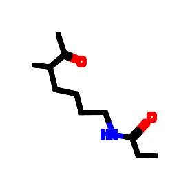 CCC(=O)NCCCCC(C)C(C)=O